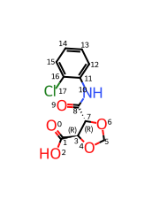 O=C(O)[C@@H]1OCO[C@H]1C(=O)Nc1ccccc1Cl